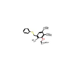 COCOc1c(C)c(CSc2ccccc2)cc(OC)c1OC